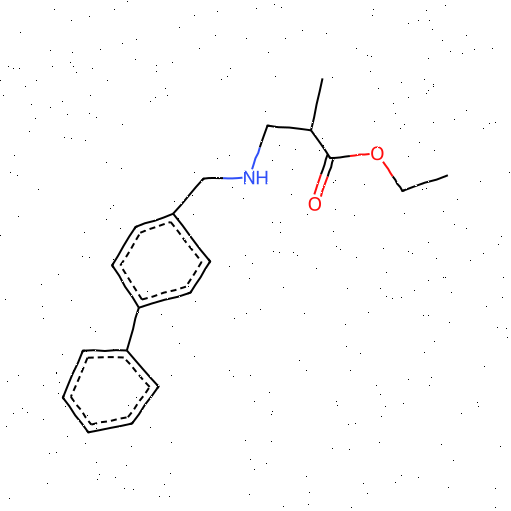 CCOC(=O)C(C)CNCc1ccc(-c2ccccc2)cc1